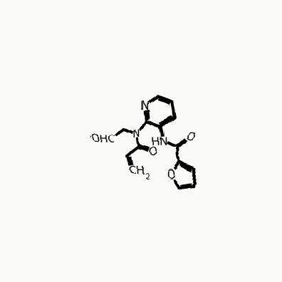 C=CC(=O)N(C[C]=O)c1ncccc1NC(=O)c1ccco1